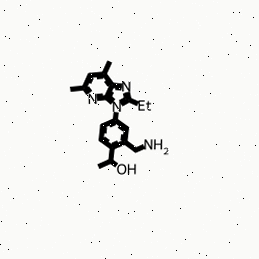 CCc1nc2c(C)cc(C)nc2n1-c1ccc(C(C)O)c(CN)c1